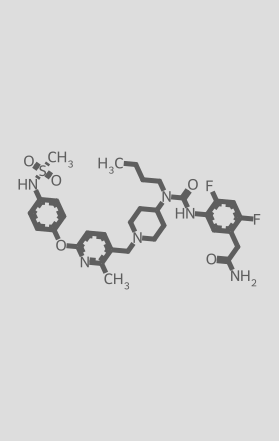 CCCCN(C(=O)Nc1cc(CC(N)=O)c(F)cc1F)C1CCN(Cc2ccc(Oc3ccc(NS(C)(=O)=O)cc3)nc2C)CC1